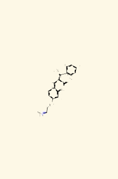 C/N=C\COc1ccc2cc(C(=O)c3ccccc3)c(=O)oc2c1